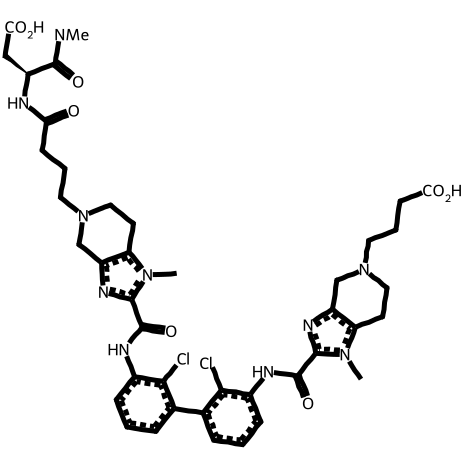 CNC(=O)[C@H](CC(=O)O)NC(=O)CCCN1CCc2c(nc(C(=O)Nc3cccc(-c4cccc(NC(=O)c5nc6c(n5C)CCN(CCCC(=O)O)C6)c4Cl)c3Cl)n2C)C1